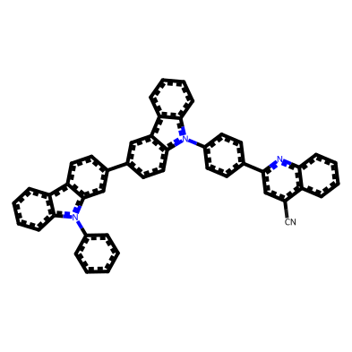 N#Cc1cc(-c2ccc(-n3c4ccccc4c4cc(-c5ccc6c7ccccc7n(-c7ccccc7)c6c5)ccc43)cc2)nc2ccccc12